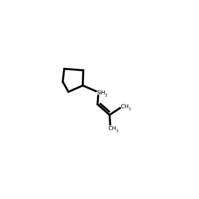 CC(C)=C[SiH2]C1CCCC1